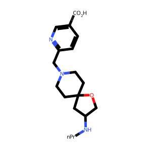 CCCNC1COC2(CCN(Cc3ccc(C(=O)O)cn3)CC2)C1